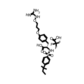 CCC(C)(C)c1ccc(S(=O)(=O)N[C@@H](Cc2ccc(OCCCONC(=N)N)cc2)C(=O)O)cc1.O=C(O)C(F)(F)F